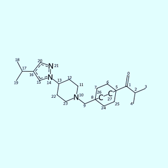 C=C(C(C)C)C12CCC(CN3CCC(n4cc(C(C)C)cn4)CC3)(CC1)CC2